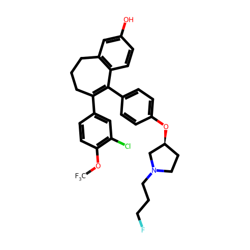 Oc1ccc2c(c1)CCCC(c1ccc(OC(F)(F)F)c(Cl)c1)=C2c1ccc(O[C@H]2CCN(CCCF)C2)cc1